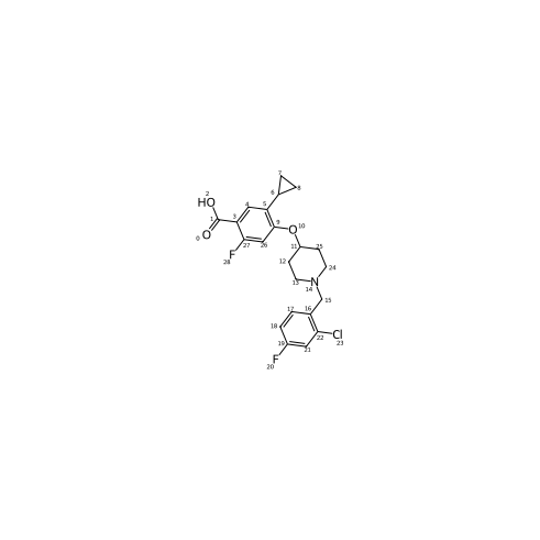 O=C(O)c1cc(C2CC2)c(OC2CCN(Cc3ccc(F)cc3Cl)CC2)cc1F